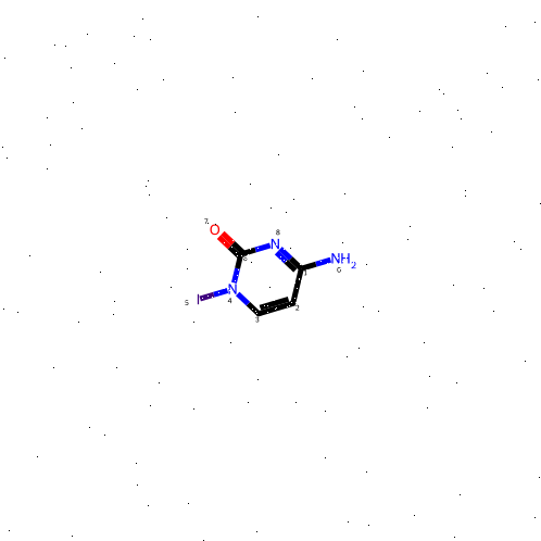 Nc1ccn(I)c(=O)n1